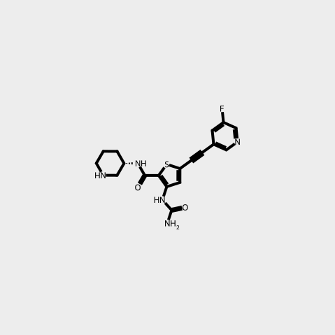 NC(=O)Nc1cc(C#Cc2cncc(F)c2)sc1C(=O)N[C@H]1CCCNC1